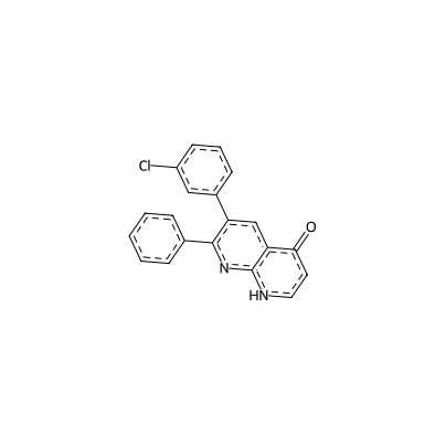 O=c1cc[nH]c2nc(-c3ccccc3)c(-c3cccc(Cl)c3)cc12